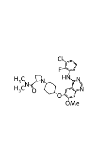 COc1cc2ncnc(Nc3cccc(Cl)c3F)c2cc1O[C@H]1CC[C@@H](N2CC[C@@H]2C(=O)N(C)C)CC1